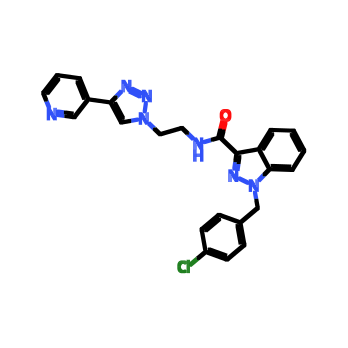 O=C(NCCn1cc(-c2cccnc2)nn1)c1nn(Cc2ccc(Cl)cc2)c2ccccc12